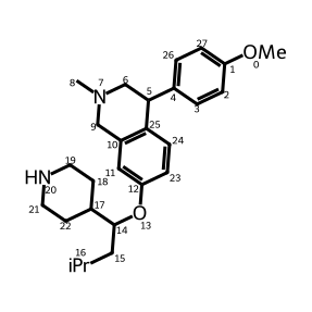 COc1ccc(C2CN(C)Cc3cc(OC(CC(C)C)C4CCNCC4)ccc32)cc1